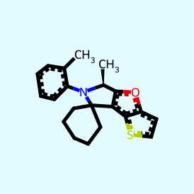 Cc1ccccc1N1[C@@H](C)c2oc3ccsc3c2C12CCCCC2